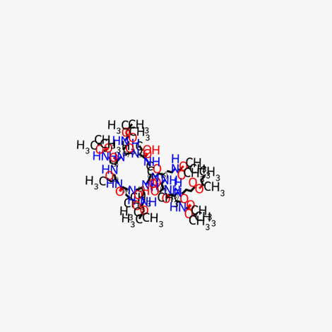 CCCC(C)OC(=O)CCC(=O)N[C@@H](CCNC(=O)OC(C)(C)C)C(=O)N[C@H](C(=O)N[C@@H](CCNC(=O)OC(C)(C)C)C(=O)N[C@H]1CCNC(=O)[C@H](C(C)O)NC(=O)[C@H](CCNC(=O)OC(C)(C)C)NC(=O)[C@H](CCNC(=O)OC(C)(C)C)NC(=O)[C@H](CCC)NC(=O)[C@@H](CC(C)C)NC(=O)[C@H](CCNC(=O)OC(C)(C)C)NC1=O)C(C)O